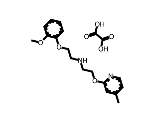 COc1ccccc1OCCNCCOc1cc(C)ccn1.O=C(O)C(=O)O